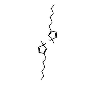 CCCCCCC1=C[C](C)([Zr+2][C]2(C)C=CC(CCCCCC)=C2)C=C1.[Cl-].[Cl-]